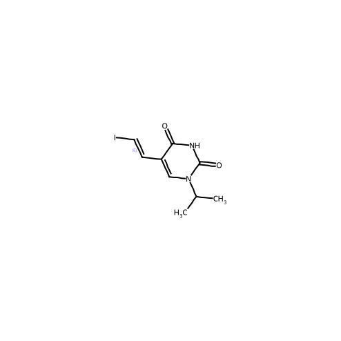 CC(C)n1cc(/C=C/I)c(=O)[nH]c1=O